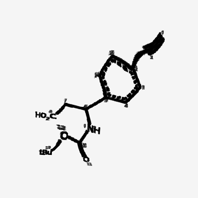 C#Cc1ccc(C(CC(=O)O)NC(=O)OC(C)(C)C)cc1